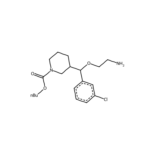 CCCCOC(=O)N1CCCC(C(OCCN)c2cccc(Cl)c2)C1